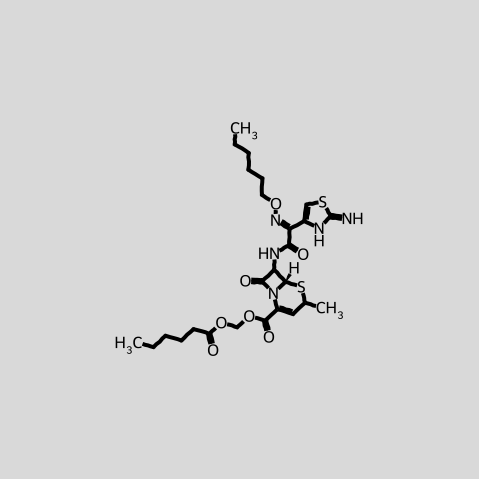 CCCCCCON=C(C(=O)NC1C(=O)N2C(C(=O)OCOC(=O)CCCCC)=CC(C)S[C@@H]12)c1csc(=N)[nH]1